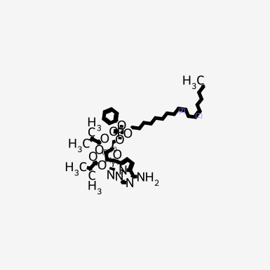 CCCCC/C=C\C/C=C\CCCCCCCCOP(=O)(OC[C@H]1O[C@@](C#N)(c2ccc3c(N)ncnn23)[C@H](OC(=O)C(C)C)[C@@H]1OC(=O)C(C)C)Oc1ccccc1